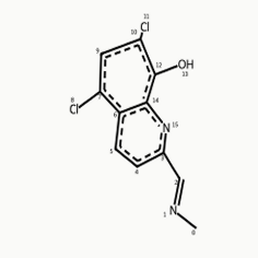 CN=Cc1ccc2c(Cl)cc(Cl)c(O)c2n1